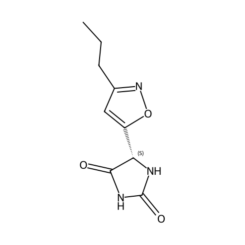 CCCc1cc([C@@H]2NC(=O)NC2=O)on1